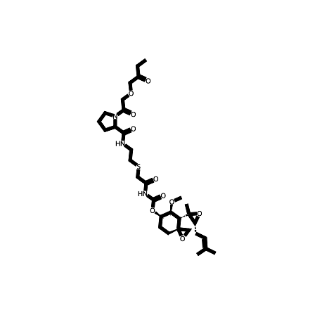 CCC(=O)COCC(=O)N1CCCC1C(=O)NCCSCC(=O)NC(=O)O[C@@H]1CC[C@]2(CO2)[C@@H](C2(C)O[C@@H]2CC=C(C)C)[C@@H]1OC